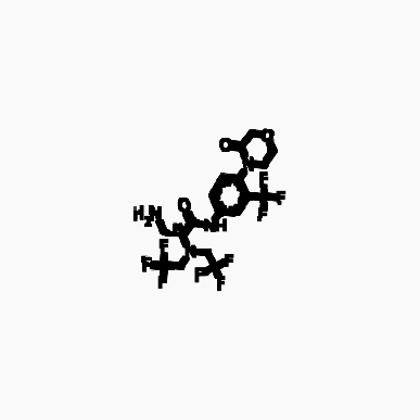 NC[C@@H](C(=O)Nc1ccc(N2CCOCC2=O)c(C(F)(F)F)c1)N(CC(F)(F)F)CC(F)(F)F